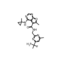 Cc1cc(C(C)(F)P)nc(CNC(=O)c2c(C)oc3ncnc(NC4(C)CC4)c23)n1